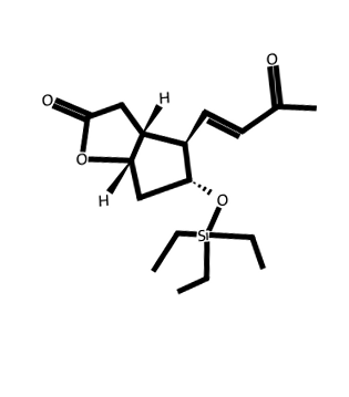 CC[Si](CC)(CC)O[C@@H]1C[C@@H]2OC(=O)C[C@@H]2[C@H]1C=CC(C)=O